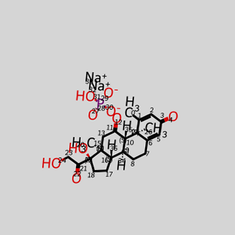 CC1=CC(=O)C=C2CC[C@@H]3[C@H](C(=O)C[C@@]4(C)[C@H]3CC[C@]4(O)C(=O)CO)[C@@]12C.O=P([O-])([O-])O.[Na+].[Na+]